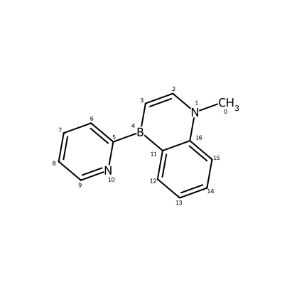 CN1C=CB(c2ccccn2)c2ccccc21